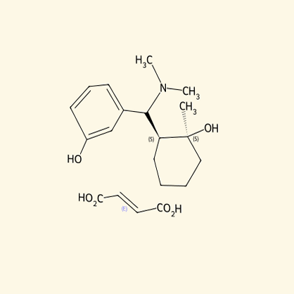 CN(C)C(c1cccc(O)c1)[C@@H]1CCCC[C@]1(C)O.O=C(O)/C=C/C(=O)O